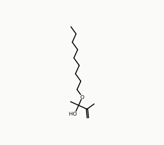 C=C(C)C(C)(O)OCCCCCCCCC